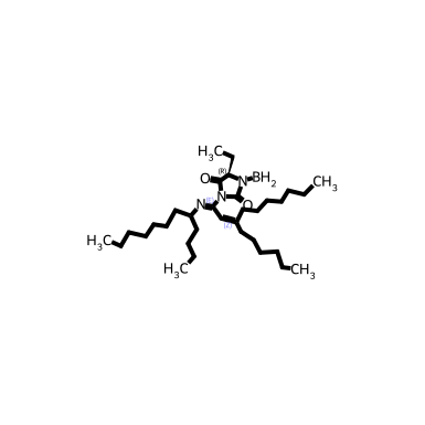 BN1C(=O)N(C(/C=C(/CCCCCC)CCCCCCC)=N/C(CCCC)CCCCCCC)C(=O)[C@H]1CC